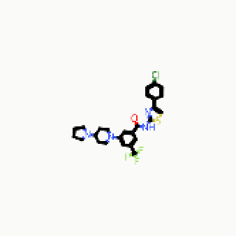 O=C(Nc1nc(-c2ccc(Cl)cc2)cs1)c1cc(N2CCC(N3CCCC3)CC2)cc(C(F)(F)F)c1